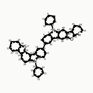 c1ccc(-n2c3ccc(-c4ccc5c(c4)c4c6sc7ccccc7c6ccc4n5-c4ccccc4)cc3c3cc4oc5ccccc5c4cc32)cc1